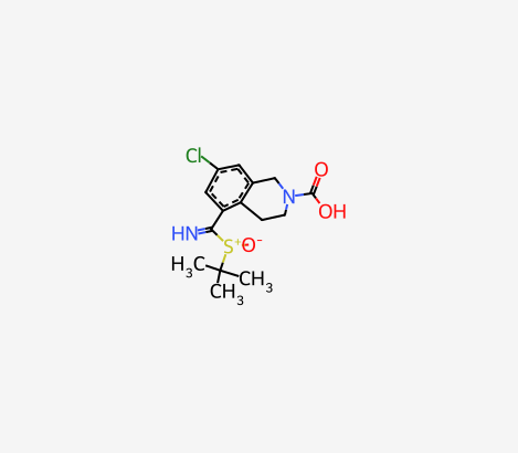 CC(C)(C)[S+]([O-])C(=N)c1cc(Cl)cc2c1CCN(C(=O)O)C2